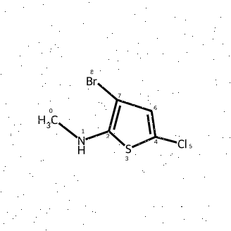 CNc1sc(Cl)cc1Br